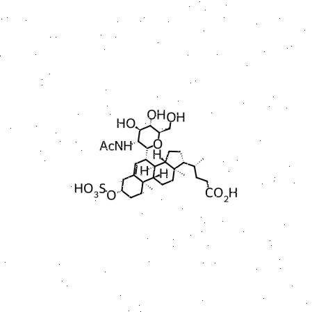 CC(=O)N[C@H]1C([C@H]2C=C3C[C@@H](OS(=O)(=O)O)CC[C@]3(C)[C@H]3CC[C@]4(C)[C@@H]([C@H](C)CCC(=O)O)CC[C@H]4[C@H]23)O[C@H](CO)[C@@H](O)[C@@H]1O